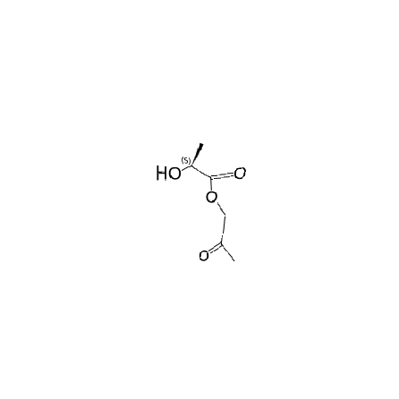 CC(=O)COC(=O)[C@H](C)O